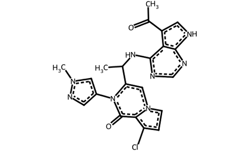 CC(=O)c1c[nH]c2ncnc(NC(C)c3cn4ccc(Cl)c4c(=O)n3-c3cnn(C)c3)c12